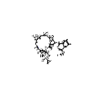 CCCOc1cnc(O[C@@H]2C[C@H]3C(=O)N[C@]4(C(=O)NS(=O)(=O)C5CC5)C[C@H]4/C=C\CC[C@@H](C)C[C@@H](C)CC(=O)N3C2)c2ccccc12